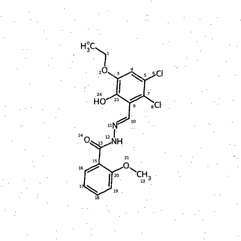 CCOc1cc(Cl)c(Cl)c(C=NNC(=O)c2ccccc2OC)c1O